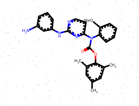 COc1ccccc1N(C(=O)Oc1c(C)cc(C)cc1C)c1ccnc(Nc2cccc(N)c2)n1